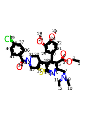 CCOC(=O)c1c(CN(CC)CC)nc2sc3c(c2c1-c1ccc(OC)c(OC)c1)CCN(C(=O)c1ccc(Cl)cc1)C3